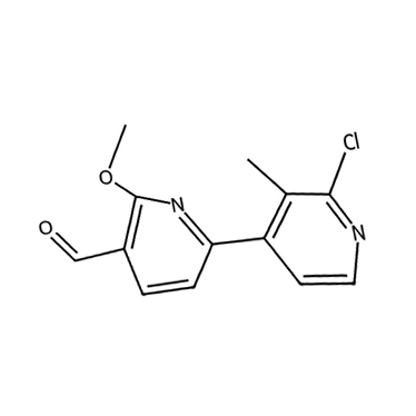 COc1nc(-c2ccnc(Cl)c2C)ccc1C=O